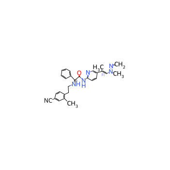 C=NN(C)/C=C(\C)c1ccc(NC(=O)[C@@H](NCCc2ccc(C#N)cc2C)c2ccccc2)nc1